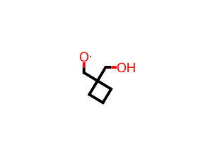 [O]CC1(CO)CCC1